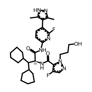 Cc1n[nH]c(C)c1-c1ccc(NC(=O)[C@@H](NC(=O)c2c(F)cnn2CCCO)C(C2CCCCC2)C2CCCCC2)nc1F